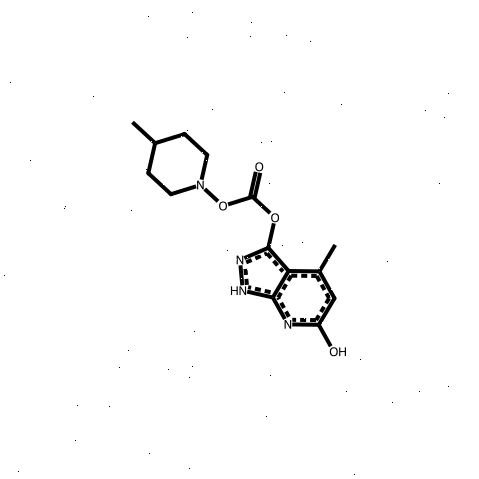 Cc1cc(O)nc2[nH]nc(OC(=O)ON3CCC(C)CC3)c12